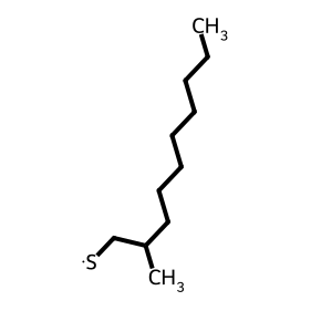 CCCCCCCCC(C)C[S]